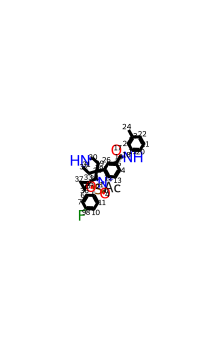 CC(=O)[N+]1(S(=O)(=O)c2ccc(F)cc2)c2ccc(C(=O)Nc3cccc(C)c3)cc2C2(CCNCC2)C1C1CC1